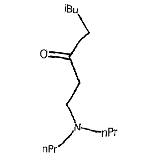 CCCN(CCC)CCC(=O)CC(C)CC